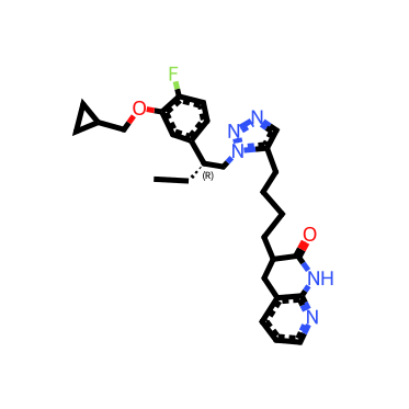 CC[C@@H](Cn1nncc1CCCCC1Cc2cccnc2NC1=O)c1ccc(F)c(OCC2CC2)c1